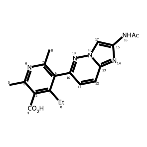 CCc1c(C(=O)O)c(C)nc(C)c1-c1ccc2nc(NC(C)=O)cn2n1